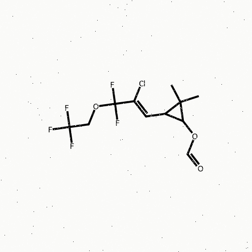 CC1(C)C(C=C(Cl)C(F)(F)OCC(F)(F)F)C1OC=O